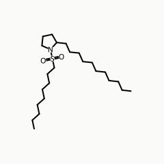 CCCCCCCCCCCC1CCCN1S(=O)(=O)CCCCCCCCC